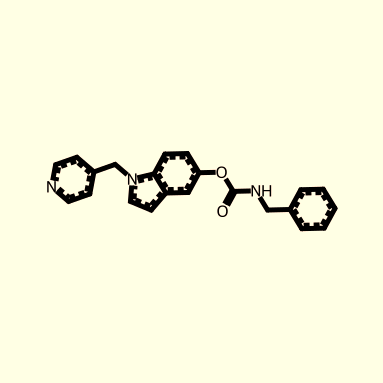 O=C(NCc1ccccc1)Oc1ccc2c(ccn2Cc2ccncc2)c1